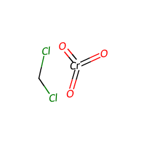 ClCCl.[O]=[Cr](=[O])=[O]